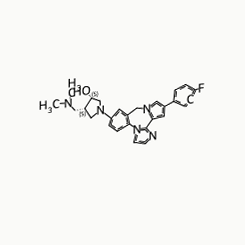 CN(C)C[C@H]1CN(c2ccc3c(c2)Cn2cc(-c4ccc(F)cc4)cc2-c2nccn2-3)C[C@H]1O